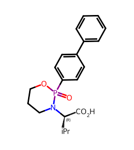 CC(C)[C@H](C(=O)O)N1CCCOP1(=O)c1ccc(-c2ccccc2)cc1